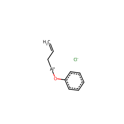 C=C[CH2][Al+][O]c1ccccc1.[Cl-]